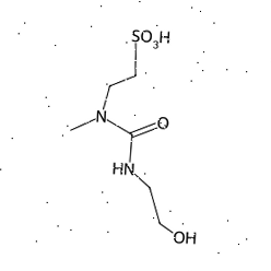 CN(CCS(=O)(=O)O)C(=O)NCCO